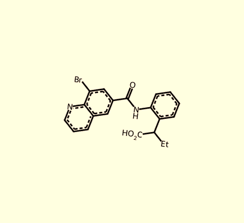 CCC(C(=O)O)c1ccccc1NC(=O)c1cc(Br)c2ncccc2c1